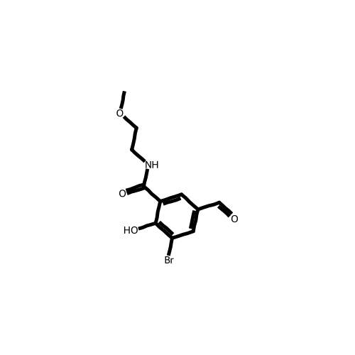 COCCNC(=O)c1cc(C=O)cc(Br)c1O